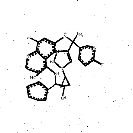 BC(Nc1cc(Cl)c2ncc(C#N)c(NC(CC#N)c3ccccc3)c2c1)(C1=CN(C2CC2)NN1)c1ccc(F)nc1